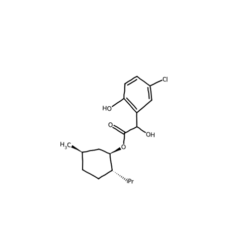 CC(C)[C@@H]1CC[C@@H](C)C[C@H]1OC(=O)C(O)c1cc(Cl)ccc1O